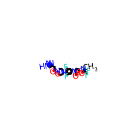 CN(C[C@H]1CN(c2cc(F)c(N3CCON(C(=O)Cc4c[nH]nn4)CC3)c(F)c2)C(=O)O1)C(=O)C(F)F